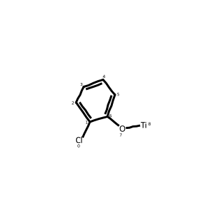 Clc1ccccc1[O][Ti]